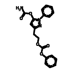 NC(=O)Oc1cc(CCOC(=O)Oc2ccccc2)nn1-c1ccccc1